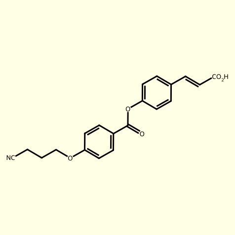 N#CCCCOc1ccc(C(=O)Oc2ccc(C=CC(=O)O)cc2)cc1